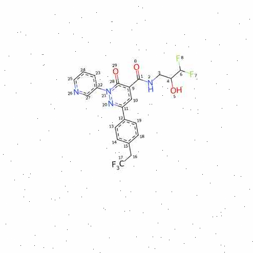 O=C(NCC(O)C(F)F)c1cc(-c2ccc(CC(F)(F)F)cc2)nn(-c2cccnc2)c1=O